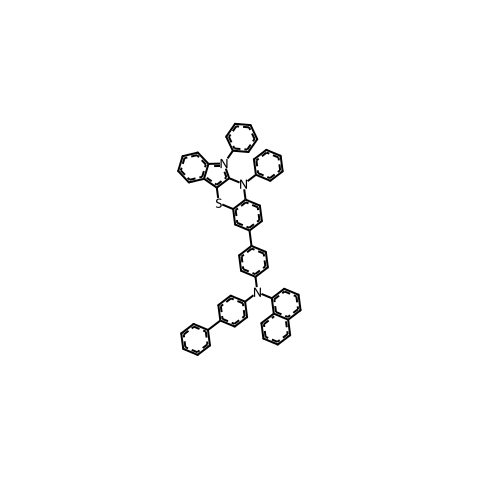 c1ccc(-c2ccc(N(c3ccc(-c4ccc5c(c4)Sc4c(n(-c6ccccc6)c6ccccc46)N5c4ccccc4)cc3)c3cccc4ccccc34)cc2)cc1